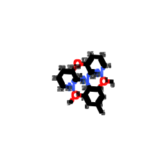 COc1cc(C)cc(OC)c1N1c2ncccc2Oc2cccnc21